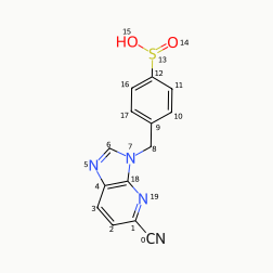 N#Cc1ccc2ncn(Cc3ccc(S(=O)O)cc3)c2n1